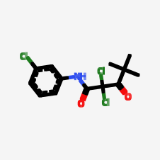 CC(C)(C)C(=O)C(Cl)(Cl)C(=O)Nc1cccc(Cl)c1